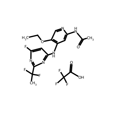 CCOc1cnc(NC(C)=O)cc1Nc1cc(F)nc(C(C)(F)F)n1.O=C(O)C(F)(F)F